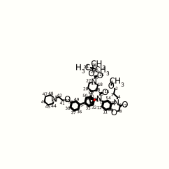 COCCCN1C(=O)COc2ccc(N(C(=O)[C@H]3CN(C(=O)OC(C)(C)C)CC[C@@H]3c3cccc(-c4cccc(OCCN5CCCCC5)c4)c3)C3CC3)cc21